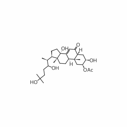 CC(=O)O[C@H]1C[C@@]2(C)[C@@H](C[C@H]1O)C(=O)C=C1[C@@H]2CC[C@]2(C)[C@@H]([C@H](C)C(O)CCC(C)(C)O)CC[C@@]12O